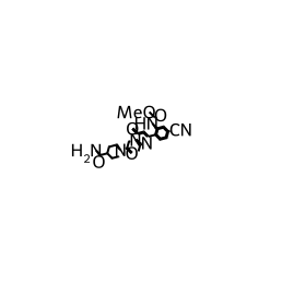 COC(=O)Nc1cc(C#N)ccc1-c1cc(=O)n(CC(=O)N2CCC(C(N)=O)CC2)c(C)n1